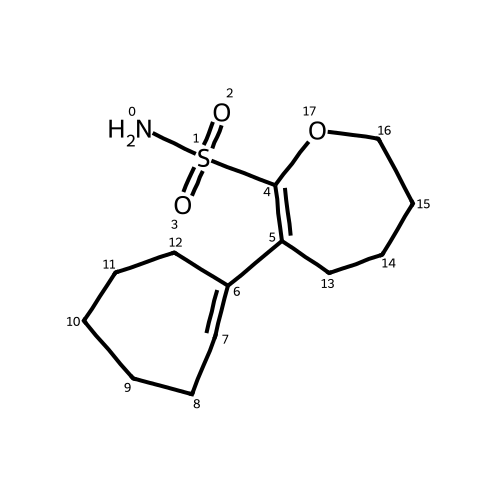 NS(=O)(=O)C1=C(C2=CCCCCC2)CCCCO1